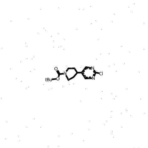 CC(C)(C)OC(=O)N1CCC(c2cnc(Cl)nc2)CC1